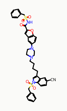 N#Cc1ccc2c(c1)c(CCCCN1CCN(c3ccc4oc(C(=O)NS(=O)(=O)Cc5ccccc5)cc4c3)CC1)cn2S(=O)(=O)Cc1ccccc1